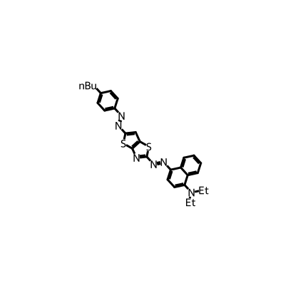 CCCCc1ccc(N=Nc2cc3sc(N=Nc4ccc(N(CC)CC)c5ccccc45)nc3s2)cc1